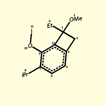 CCC1(OC)Cc2ccc(C(C)C)c(OI)c21